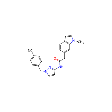 Cn1ccc2ccc(CC(=O)Nc3ccn(Cc4ccc(C#N)cc4)n3)cc21